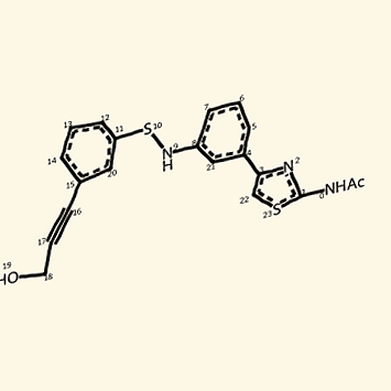 CC(=O)Nc1nc(-c2cccc(NSc3cccc(C#CCO)c3)c2)cs1